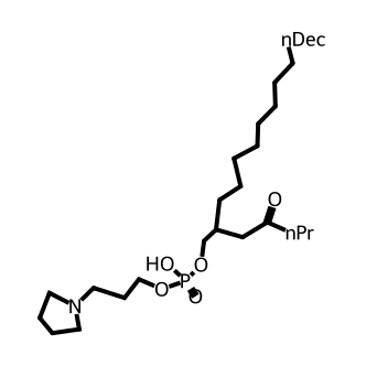 CCCCCCCCCCCCCCCCCCC(COP(=O)(O)OCCCN1CCCC1)CC(=O)CCC